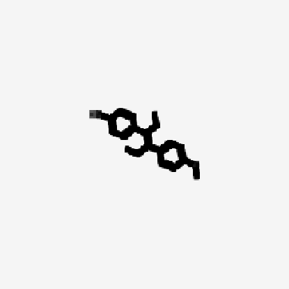 CC/C(=C(/CC)c1ccc(OC)cc1)c1ccc(O)cc1